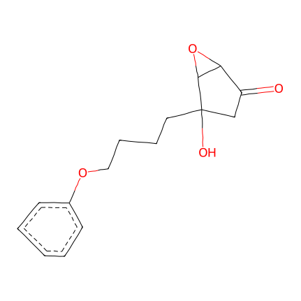 O=C1CC(O)(CCCCOc2ccccc2)C2OC12